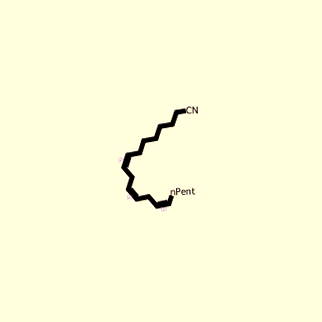 CCCCC/C=C\C/C=C\C/C=C\CCCCCCC#N